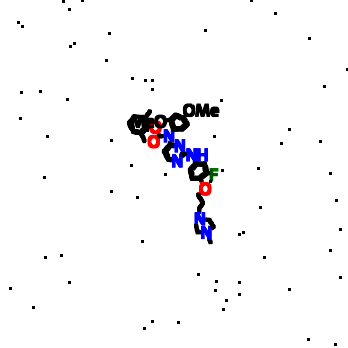 COc1ccc(N(C(=O)Oc2c(C)cccc2C)c2ccnc(Nc3ccc(OCCCN4CCN(C)CC4)c(F)c3)n2)c(OC)c1